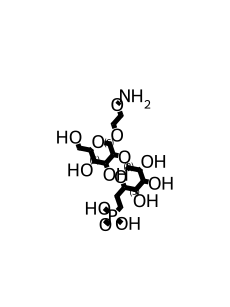 NOCCO[C@H]1OC(CO)[C@@H](O)C(O)C1O[C@H]1OC(CCP(=O)(O)O)[C@@H](O)C(O)C1O